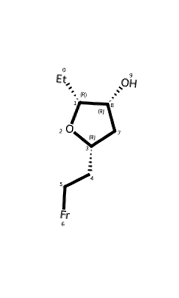 CC[C@H]1O[C@@H](C[CH2][Fr])C[C@H]1O